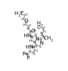 C=C(S/C=C\C)C1=NCC(C(=N)/C=C\CC(F)F)=C2CC(NC(=O)CCCOCCC)CN12